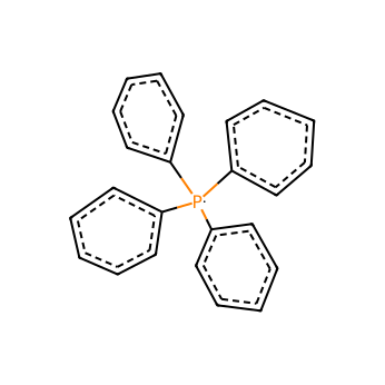 c1ccc([P](c2ccccc2)(c2ccccc2)c2ccccc2)cc1